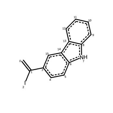 C=C(I)c1ccc2[nH]c3ccccc3c2c1